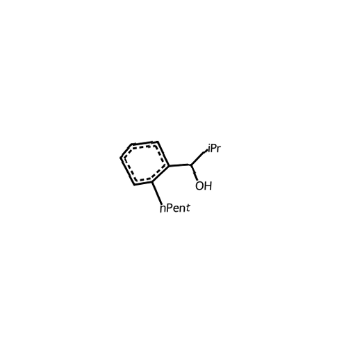 [CH2]CCCCc1ccccc1C(O)C(C)C